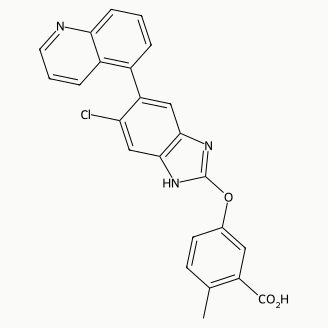 Cc1ccc(Oc2nc3cc(-c4cccc5ncccc45)c(Cl)cc3[nH]2)cc1C(=O)O